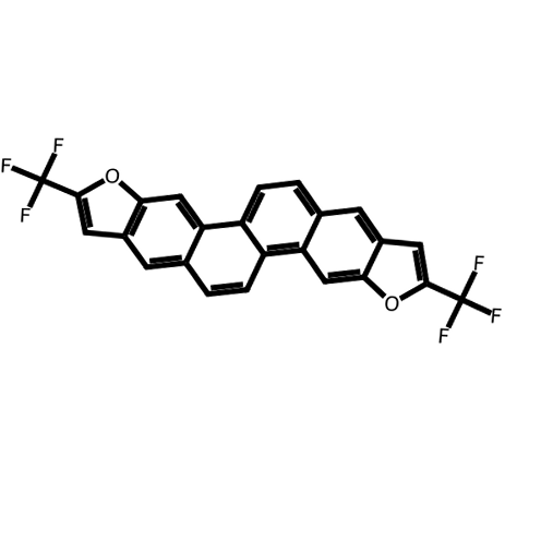 FC(F)(F)c1cc2cc3ccc4c5cc6oc(C(F)(F)F)cc6cc5ccc4c3cc2o1